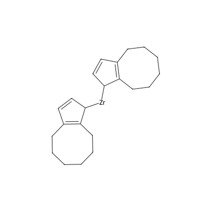 C1=C[CH]([Zr][CH]2C=CC3=C2CCCCCC3)C2=C1CCCCCC2